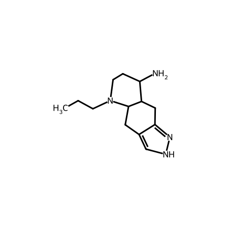 CCCN1CCC(N)C2Cc3n[nH]cc3CC21